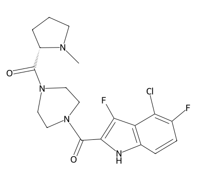 CN1CCC[C@H]1C(=O)N1CCN(C(=O)c2[nH]c3ccc(F)c(Cl)c3c2F)CC1